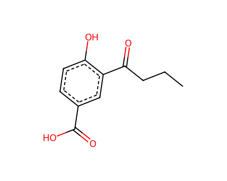 CCCC(=O)c1cc(C(=O)O)ccc1O